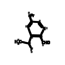 CCCc1cnc(C=O)c(C(C)F)c1